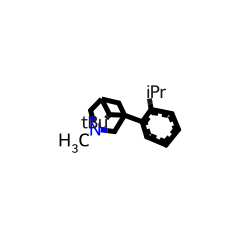 CC(C)c1ccccc1C12CC(CN(C)C1)C2C(C)(C)C